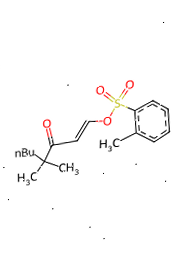 CCCCC(C)(C)C(=O)C=COS(=O)(=O)c1ccccc1C